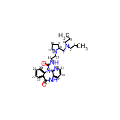 CCCN(CCC)CC1CCCN1CCNC(=O)N1c2ccccc2C(=O)Nc2cccnc21